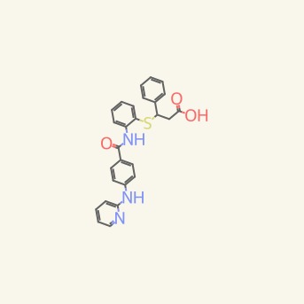 O=C(O)CC(Sc1ccccc1NC(=O)c1ccc(Nc2ccccn2)cc1)c1ccccc1